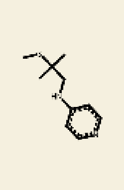 CSC(C)(C)CNc1ccncc1